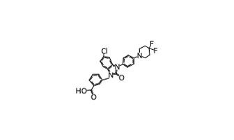 O=C(O)c1cccc(Cn2c(=O)n(-c3ccc(N4CCC(F)(F)CC4)cc3)c3cc(Cl)ccc32)c1